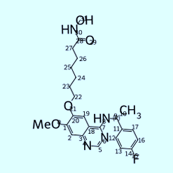 COc1cc2ncnc(N[C@H](C)c3ccc(F)cc3)c2cc1OCCCCCCC(=O)NO